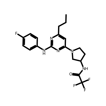 CCCc1cc(N2CCC(NC(=O)C(F)(F)F)C2)nc(Nc2ccc(F)cc2)n1